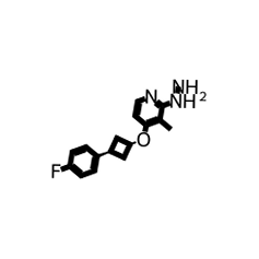 Cc1c(O[C@H]2C[C@H](c3ccc(F)cc3)C2)ccnc1NN